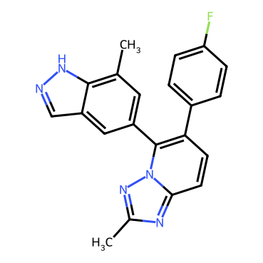 Cc1nc2ccc(-c3ccc(F)cc3)c(-c3cc(C)c4[nH]ncc4c3)n2n1